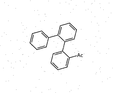 CC(=O)c1ccccc1-c1ccccc1-c1ccccc1